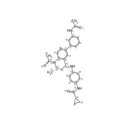 CC(=O)Nc1cccc(-c2ccc3c(c2)[C@H](Nc2ccc(NC(=O)C4CC4)cc2)C[C@H](C)N3C(C)=O)c1